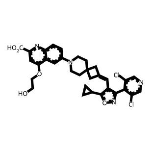 O=C(O)c1cc(OCCO)c2cc(N3CCC4(CC3)CC(=Cc3c(-c5c(Cl)cncc5Cl)noc3C3CC3)C4)ccc2n1